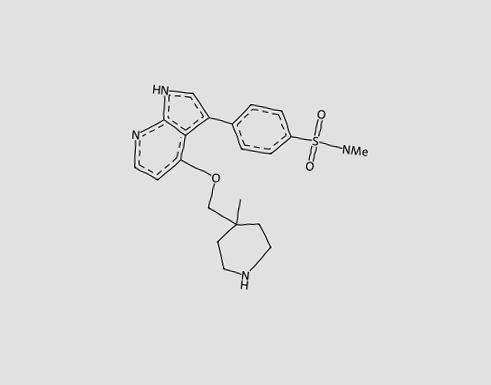 CNS(=O)(=O)c1ccc(-c2c[nH]c3nccc(OCC4(C)CCNCC4)c23)cc1